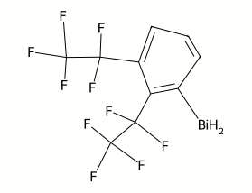 FC(F)(F)C(F)(F)c1ccc[c]([BiH2])c1C(F)(F)C(F)(F)F